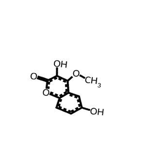 COc1c(O)c(=O)oc2ccc(O)cc12